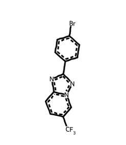 FC(F)(F)c1ccc2nc(-c3ccc(Br)cc3)nn2c1